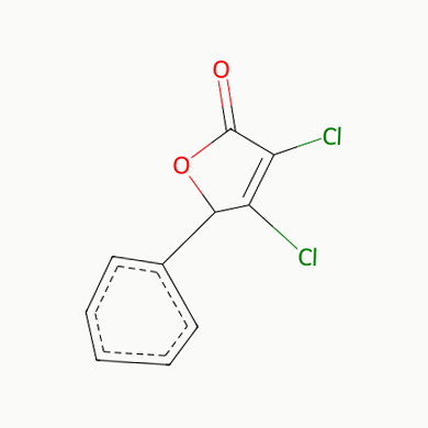 O=C1OC(c2ccccc2)C(Cl)=C1Cl